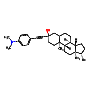 CC(=O)[C@H]1CC[C@H]2[C@@H]3CCC4CC(O)(C#Cc5ccc(N(C)C)cc5)CC[C@]4(C)[C@H]3CC[C@]12C